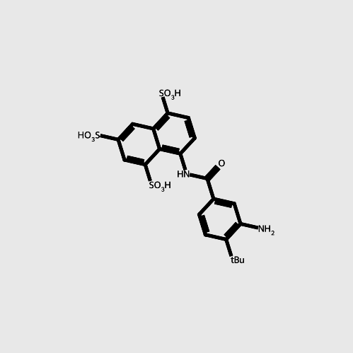 CC(C)(C)c1ccc(C(=O)Nc2ccc(S(=O)(=O)O)c3cc(S(=O)(=O)O)cc(S(=O)(=O)O)c23)cc1N